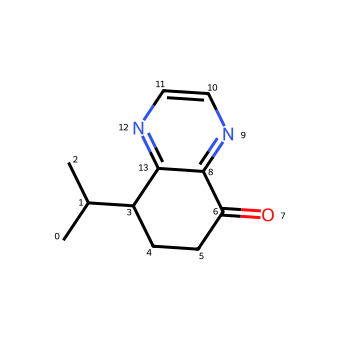 CC(C)C1CCC(=O)c2nccnc21